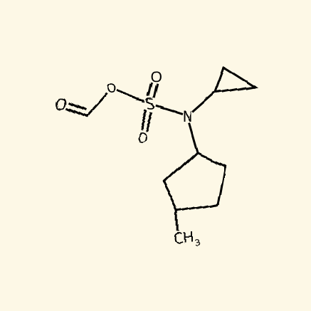 CC1CCC(N(C2CC2)S(=O)(=O)OC=O)C1